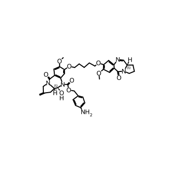 C=C1C[C@H]2[C@H](O)N(C(=O)OCc3ccc(N)cc3)c3cc(OCCCCCOc4cc5c(cc4OC)C(=O)N4CCC[C@H]4C=N5)c(OC)cc3C(=O)N2C1